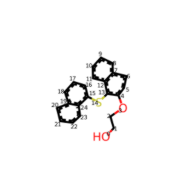 OCCOc1ccc2ccccc2c1Sc1cccc2ccccc12